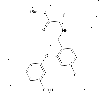 C[C@H](NCc1ccc(Cl)cc1Oc1cccc(C(=O)O)c1)C(=O)OC(C)(C)C